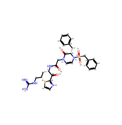 N=C(N)NCCC[C@H](NC(=O)CN1C=CN(S(=O)(=O)Cc2ccccc2)[C@@H](Cc2ccccc2)C1=O)C(=O)c1nccs1